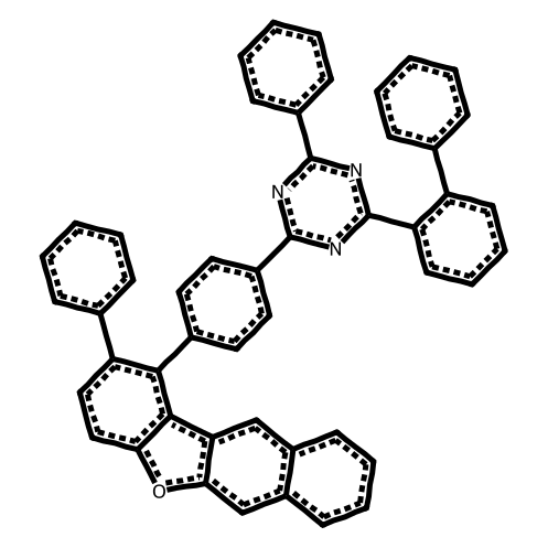 c1ccc(-c2nc(-c3ccc(-c4c(-c5ccccc5)ccc5oc6cc7ccccc7cc6c45)cc3)nc(-c3ccccc3-c3ccccc3)n2)cc1